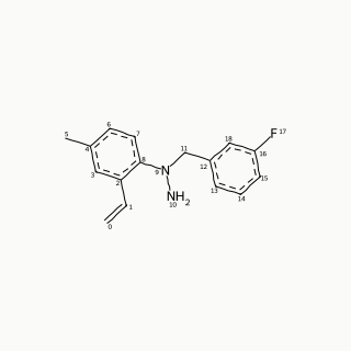 C=Cc1cc(C)ccc1N(N)Cc1cccc(F)c1